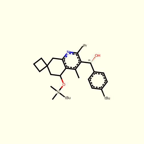 Cc1c2c(nc(C(C)C)c1[C@H](O)c1ccc(C(C)(C)C)cc1)CC1(CCC1)CC2O[Si](C)(C)C(C)(C)C